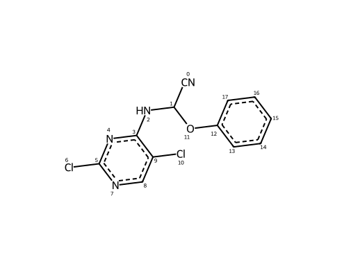 N#CC(Nc1nc(Cl)ncc1Cl)Oc1ccccc1